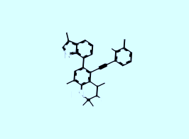 Cc1cccc(C#Cc2c(-c3cccc4c(C)c[nH]c34)cc(C)c3c2C(C)C(O)C(C)(C)N3)c1F